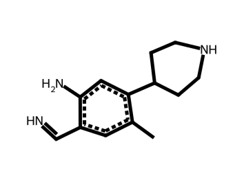 Cc1cc(C=N)c(N)cc1C1CCNCC1